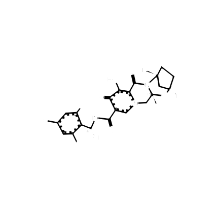 Cc1cc(F)c([C@@H](C)NC(=O)c2cn3c(c(O)c2=O)C(=O)N2[C@@H]4CC[C@H](C4)O[C@@H]2C3)c(F)c1